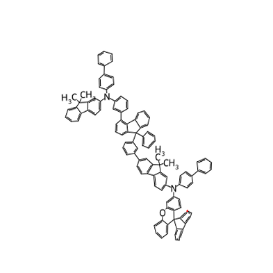 CC1(C)c2ccccc2-c2ccc(N(c3ccc(-c4ccccc4)cc3)c3cccc(-c4cccc5c4-c4ccccc4C5(c4ccccc4)c4cccc(-c5ccc6c(c5)C(C)(C)c5cc(N(c7ccc(-c8ccccc8)cc7)c7ccc8c(c7)Oc7ccccc7C87c8ccccc8-c8ccccc87)ccc5-6)c4)c3)cc21